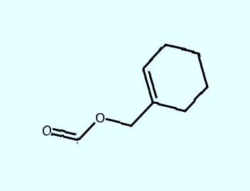 O=[C]OCC1=CCCCC1